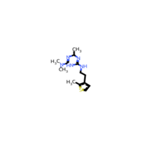 Cc1sccc1CCNC1=NC(C)N=C(N(C)C)N1